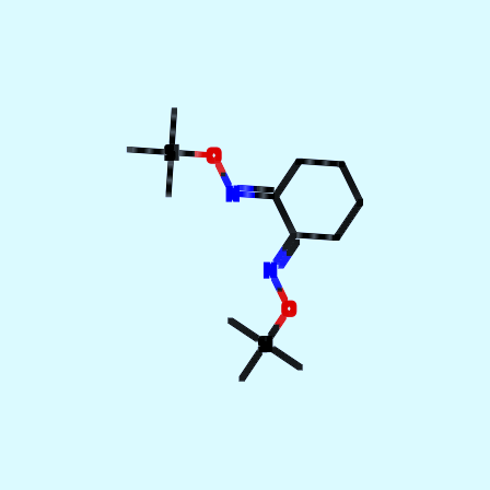 C[Si](C)(C)ON=C1CCCCC1=NO[Si](C)(C)C